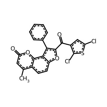 Cc1cc(=O)oc2c1ccc1oc(C(=O)c3cc(Cl)sc3Cl)c(-c3ccccc3)c12